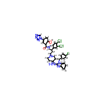 COc1ccc(-n2cnnn2)cc1C(=O)N(C)CC(CCN1CCC(Nc2nc3ccccc3n2Cc2ccc(F)cc2)CC1)c1ccc(Cl)c(Cl)c1